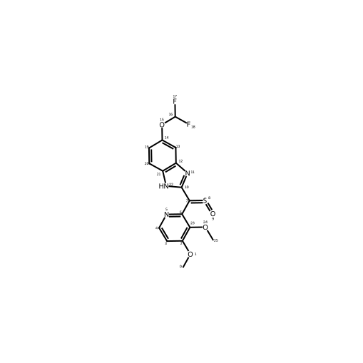 COc1ccnc(C(=S=O)c2nc3cc(OC(F)F)ccc3[nH]2)c1OC